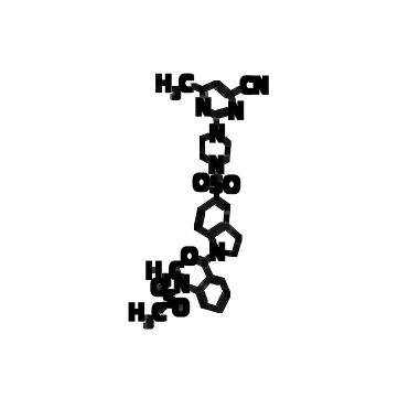 Cc1cc(C#N)nc(N2CCN(S(=O)(=O)c3ccc4c(c3)CCN4C(=O)c3ccccc3N(C)S(C)(=O)=O)CC2)n1